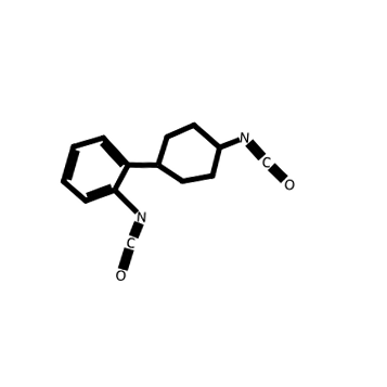 O=C=Nc1ccccc1C1CCC(N=C=O)CC1